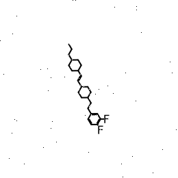 CCCC1CCC(/C=C/C2CCC(CCc3ccc(F)c(F)c3)CC2)CC1